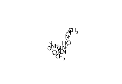 Cc1ccc(C(=O)NC2CC2)cc1-n1ccnc(NCc2cccc(CN3CCN(C)CC3)c2)c1=O